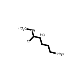 CCCCCCCCCCCC(Cl)NC(=O)O.Cl